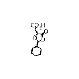 O=C(O)CC1OC(=C2CCCCC2)OC1=O